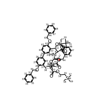 CC(C)(C)OC(=O)N[C@](C)(C(=O)O)[C@H](O[Si](C)(C)C(C)(C)C)c1cc(-c2ccc(OCc3ccccc3)c(C[C@H](NC(=O)OCc3ccccc3)C(=O)OCC[Si](C)(C)C)c2)ccc1OCc1ccccc1